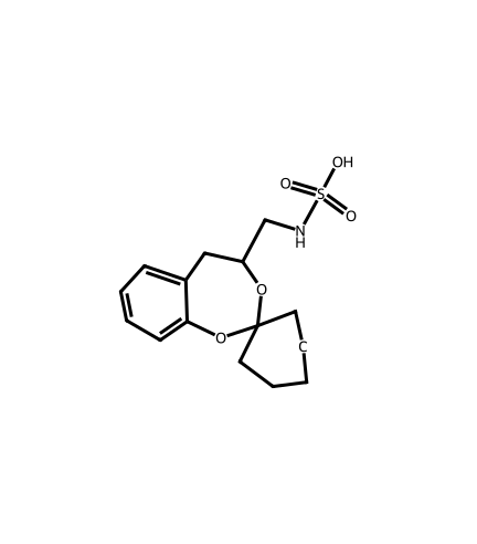 O=S(=O)(O)NCC1Cc2ccccc2OC2(CCCCC2)O1